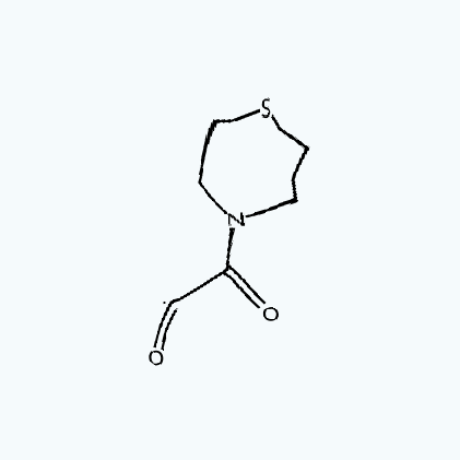 O=[C]C(=O)N1CCSCC1